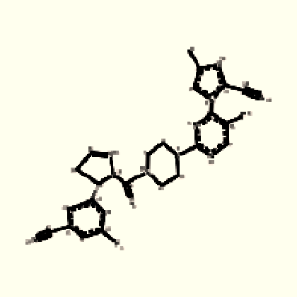 Cc1cn(-c2nc(N3CCN(C(=O)N4N=CC[C@H]4c4cc(F)cc(C#N)c4)CC3)ncc2F)c(C#N)n1